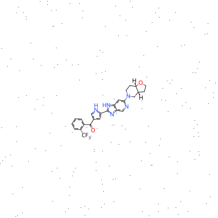 O=C(c1c[nH]c(-c2nc3cnc(N4CC[C@@H]5OCC[C@@H]5C4)cc3[nH]2)c1)c1ccccc1C(F)(F)F